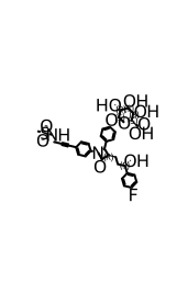 CS(=O)(=O)NCC#Cc1ccc(N2C(=O)[C@H](CC[C@H](O)c3ccc(F)cc3)C2c2ccc(O[C@@H]3O[C@H](C(=O)O)[C@@H](O)[C@H](O)[C@H]3O)cc2)cc1